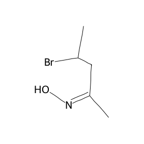 CC(CC(C)Br)=NO